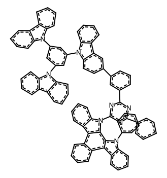 c1ccc(-c2nc(-c3cccc(-c4ccc5c(c4)c4ccccc4n5-c4cc(-n5c6ccccc6c6ccccc65)cc(-n5c6ccccc6c6ccccc65)c4)c3)nc(-n3c4ccccc4c4c5ccccc5c5c6ccccc6n(-c6ccccc6)c5c43)n2)cc1